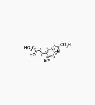 O=C(O)c1cn2cc(CCC(O)C(=O)O)c(Br)cc2n1